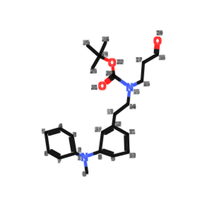 CN(c1ccccc1)c1cccc(CCN(CCC=O)C(=O)OC(C)(C)C)c1